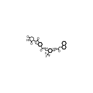 O=C(Cc1cccc2ccccc12)NCc1ccc(CNC(=O)c2ccc3c(c2)CN(C2CCC(=O)NC2=O)C3=O)c(C(F)(F)F)c1